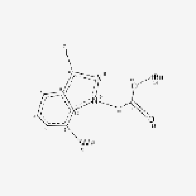 CSc1cccc2c(I)nn(CC(=O)OC(C)(C)C)c12